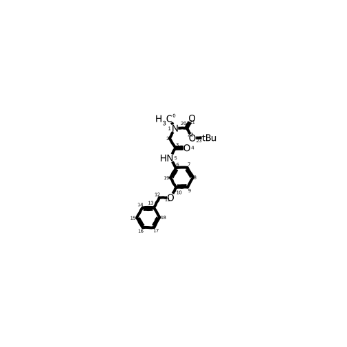 CN(CC(=O)Nc1cccc(OCc2ccccc2)c1)C(=O)OC(C)(C)C